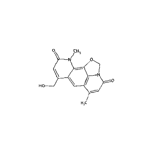 Cc1cc(=O)n2c3c(c4c(cc13)c(CO)cc(=O)n4C)OC2